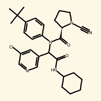 CC(C)(C)c1ccc(N(C(=O)[C@H]2CCCN2C#N)C(C(=O)NC2CCCCC2)c2cncc(Cl)c2)cc1